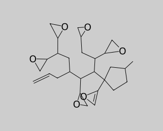 C=CCC(CC(C1CO1)C1CO1)C(C1CO1)C(C(CC1CO1)C1CO1)C1(C2=CO2)CCC(C)C1